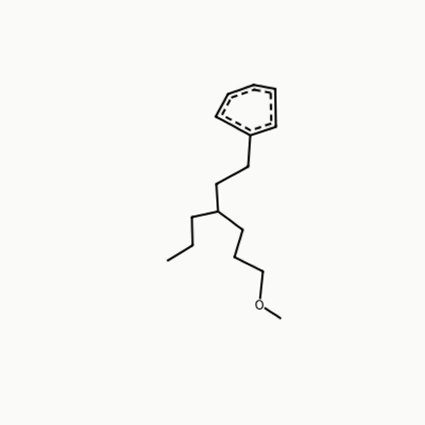 CCCC(CCCOC)CCc1ccccc1